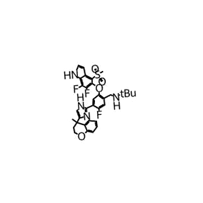 CC(C)(C)NCc1cc(F)c(-c2nc(C3(C)CCOc4ccccc43)c[nH]2)cc1Oc1c(F)c(F)c2[nH]ccc2c1S(C)(=O)=O